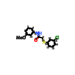 COc1cccc(NC(=O)CSc2cccc(Cl)c2)c1